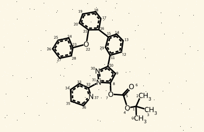 CC(C)(C)OC(=O)Oc1cc(-c2cccc(-c3ccccc3Oc3ccccc3)c2)nn1-c1ccccn1